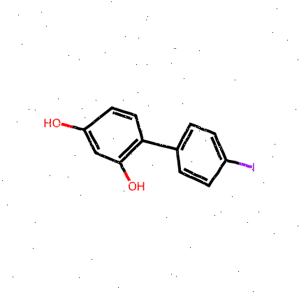 Oc1ccc(-c2ccc(I)cc2)c(O)c1